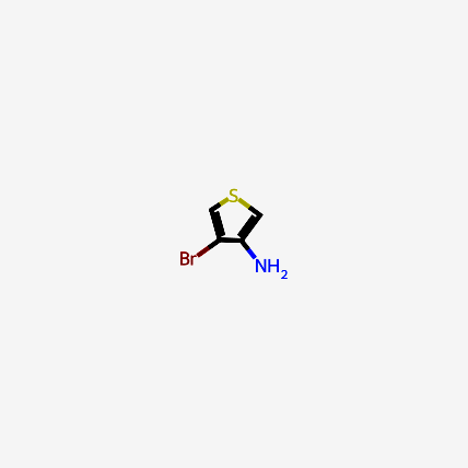 Nc1cscc1Br